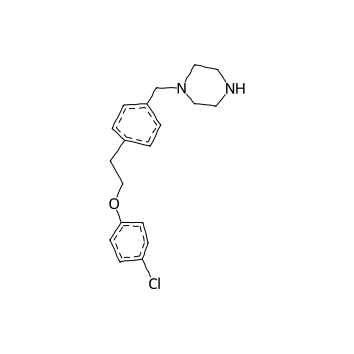 Clc1ccc(OCCc2ccc(CN3CCNCC3)cc2)cc1